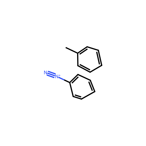 Cc1ccccc1.N#[N+]c1ccccc1